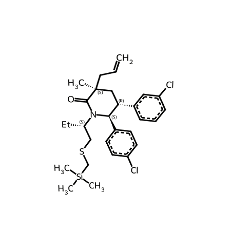 C=CC[C@@]1(C)C[C@H](c2cccc(Cl)c2)[C@@H](c2ccc(Cl)cc2)N([C@@H](CC)CSC[Si](C)(C)C)C1=O